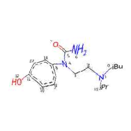 CCC(C)N(CCN(C(N)=O)c1ccc(O)cc1)C(C)C